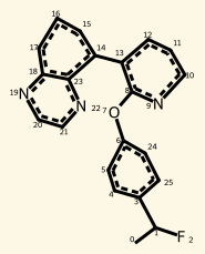 CC(F)c1ccc(Oc2ncccc2-c2cccc3nccnc23)cc1